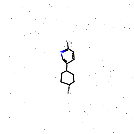 CCC1CCC(c2ccc(C(F)(F)F)nc2)CC1